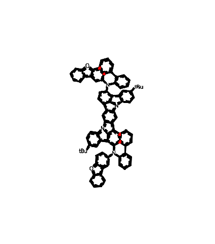 CC(C)(C)c1ccc2c(c1)c1c(N(c3ccc4oc5ccccc5c4c3)c3ccccc3-c3ccccc3)ccc3c4cc5c(cc4n2c31)c1ccc(N(c2ccc3oc4ccccc4c3c2)c2ccccc2-c2ccccc2)c2c3cc(C(C)(C)C)ccc3n5c12